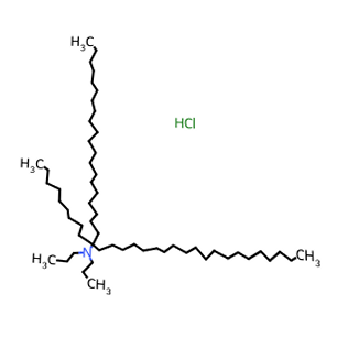 CCCCCCCCCCCCCCCCCCCCC(CCCCCCCCC)(CCCCCCCCCCCCCCCCCCCC)N(CCC)CCC.Cl